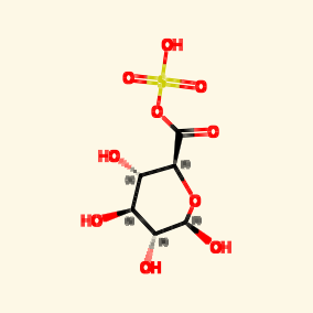 O=C(OS(=O)(=O)O)[C@H]1O[C@@H](O)[C@H](O)[C@@H](O)[C@@H]1O